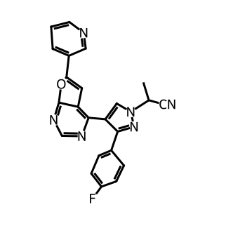 CC(C#N)n1cc(-c2ncnc3oc(-c4cccnc4)cc23)c(-c2ccc(F)cc2)n1